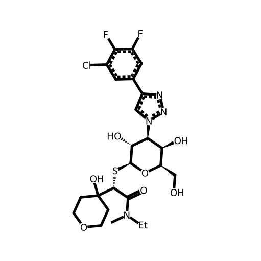 CCN(C)C(=O)[C@@H](S[C@@H]1O[C@H](CO)[C@H](O)[C@H](n2cc(-c3cc(F)c(F)c(Cl)c3)nn2)[C@H]1O)C1(O)CCOCC1